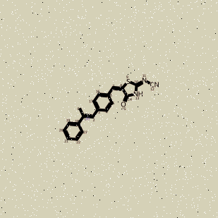 C/C(=C\c1ccc(C=C2SC(=NC#N)NC2=O)cc1)c1ccccc1